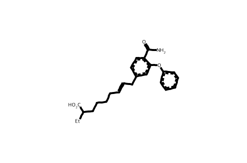 CCC(CCCCC=CCc1ccc(C(N)=O)c(Oc2ccccc2)c1)C(=O)O